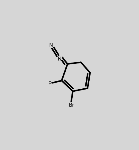 [N-]=[N+]=C1CC=CC(Br)=C1F